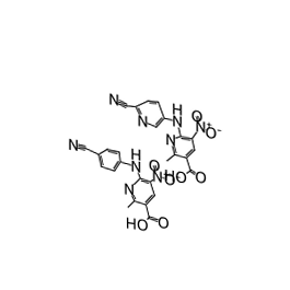 Cc1nc(Nc2ccc(C#N)cc2)c([N+](=O)[O-])cc1C(=O)O.Cc1nc(Nc2ccc(C#N)nc2)c([N+](=O)[O-])cc1C(=O)O